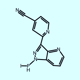 N#Cc1ccnc(-c2nn(PI)c3cccnc23)c1